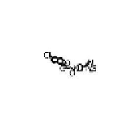 O=C(CCS(=O)(=O)c1ccc2cc(Cl)ccc2c1)N1CCC(c2cnc3sccn23)CC1